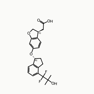 CC(C)(O)C(F)(F)c1cccc2c1CC[C@H]2Oc1ccc2c(c1)OC[C@H]2CC(=O)O